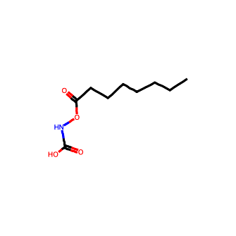 CCCCCCCC(=O)ONC(=O)O